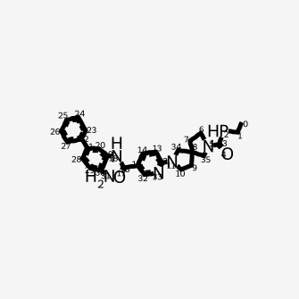 CCPC(=O)N1CCC2(CCN(c3ccc(C(=O)Nc4cc(-c5ccccc5)ccc4N)cn3)C2)C1